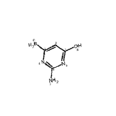 Bc1cc(O)nc(N)n1